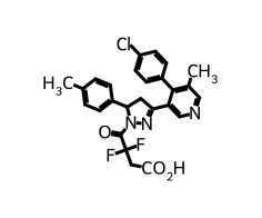 Cc1ccc(C2CC(c3cncc(C)c3-c3ccc(Cl)cc3)=NN2C(=O)C(F)(F)CC(=O)O)cc1